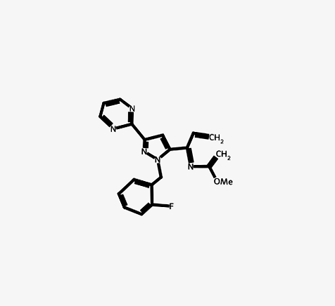 C=C/C(=N\C(=C)OC)c1cc(-c2ncccn2)nn1Cc1ccccc1F